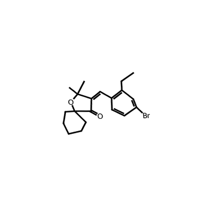 CCc1cc(Br)ccc1C=C1C(=O)C2(CCCCC2)OC1(C)C